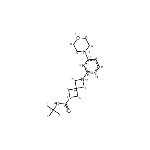 CC(C)(C)OC(=O)N1CC2(C1)CN(c1nccc(N3CCOCC3)n1)C2